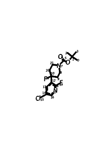 CC(C)(C)OC(=O)N1CCC(F)(c2cc(Cl)cnc2F)CC1